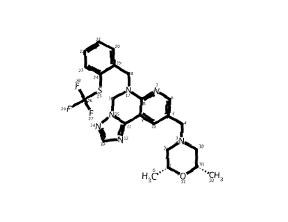 C[C@@H]1CN(Cc2cnc3c(c2)-c2ncnn2CN3Cc2ccccc2SC(F)(F)F)C[C@H](C)O1